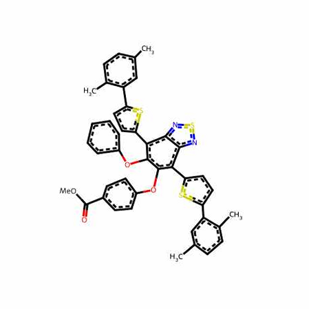 COC(=O)c1ccc(Oc2c(Oc3ccccc3)c(-c3ccc(-c4cc(C)ccc4C)s3)c3nsnc3c2-c2ccc(-c3cc(C)ccc3C)s2)cc1